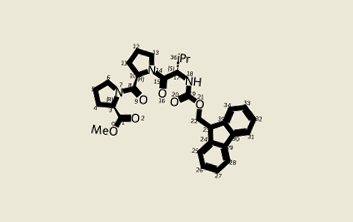 COC(=O)[C@H]1CCCN1C(=O)[C@H]1CCCN1C(=O)[C@@H](NC(=O)OCC1c2ccccc2-c2ccccc21)C(C)C